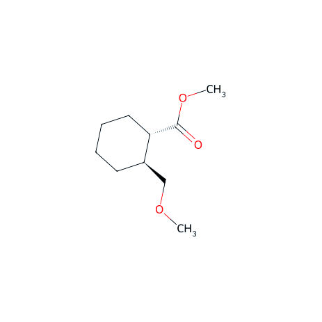 COC[C@H]1CCCC[C@@H]1C(=O)OC